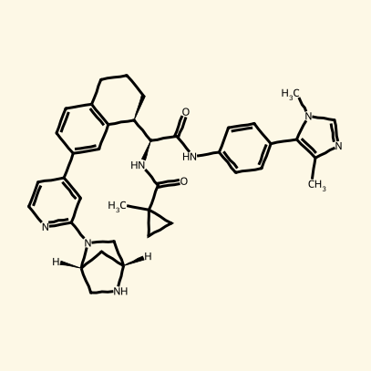 Cc1ncn(C)c1-c1ccc(NC(=O)[C@@H](NC(=O)C2(C)CC2)[C@@H]2CCCc3ccc(-c4ccnc(N5C[C@H]6C[C@@H]5CN6)c4)cc32)cc1